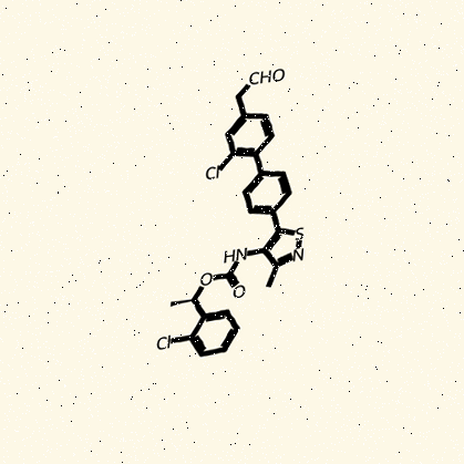 Cc1nsc(-c2ccc(-c3ccc(CC=O)cc3Cl)cc2)c1NC(=O)O[C@H](C)c1ccccc1Cl